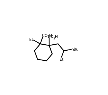 CCCCC(CC)CC1(C(=O)O)CCCCC1(CC)C(=O)O